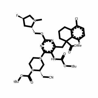 COC(=O)C1(Cc2nc(OC[C@@H]3C[C@@H](F)CN3C)nc(N3CCN(C(=O)OC(C)(C)C)[C@@H](CC#N)C3)c2NC(=O)OC(C)(C)C)CCCc2c(Cl)ccc(F)c21